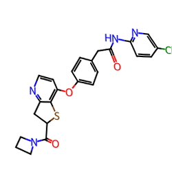 O=C(Cc1ccc(Oc2ccnc3c2SC(C(=O)N2CCC2)C3)cc1)Nc1ccc(Cl)cn1